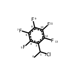 CC(Cl)c1c(F)c(F)c(F)c(F)c1F